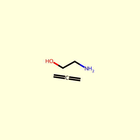 C=C=C.NCCO